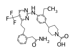 CCc1cc(C2CCN(C(=O)O)CC2)ccc1Nc1ncc(C(F)(F)F)c(CCc2ccccc2CC(N)=O)n1